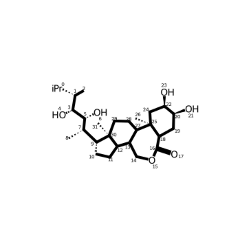 CC(C)[C@H](C)[C@@H](O)[C@H](O)[C@@H](C)[C@H]1CCC2C3COC(=O)C4C[C@H](O)[C@H](O)C[C@]4(C)C3CC[C@@]21C